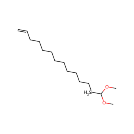 C=CCCCCCCCCCC[SiH2]C(OC)OC